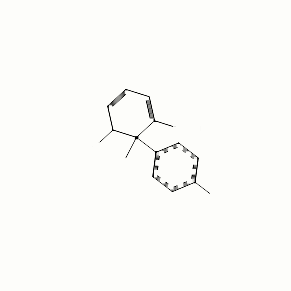 CC1(c2ccc(Cl)cc2)C(C(=O)O)=CC=CC1C(=O)O